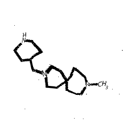 CN1CCC2(CC1)CCN(CC1CCNCC1)CC2